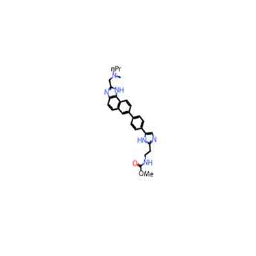 CCCN(C)Cc1nc2ccc3cc(-c4ccc(-c5cnc(CCNC(=O)OC)[nH]5)cc4)ccc3c2[nH]1